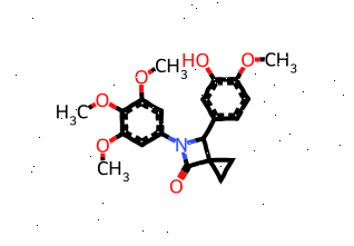 COc1ccc(C2N(c3cc(OC)c(OC)c(OC)c3)C(=O)C23CC3)cc1O